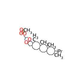 CC(C)C1CCC(C)C2CCC(C)C3CCC(C)C4CC5(CCC4CCCC3CCCC2CCCC1C)OCC(COS(C)(=O)=O)CO5